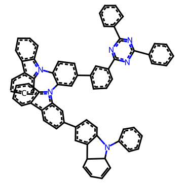 C1=CC2c3cc(-c4ccc5c6ccccc6n(-c6cc(-c7cccc(-c8nc(-c9ccccc9)nc(-c9ccccc9)n8)c7)ccc6-n6c7ccccc7c7ccccc76)c5c4)ccc3N(c3ccccc3)C2C=C1